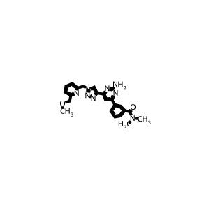 COCc1cccc(Cn2cc(-c3cc(-c4cccc(C(=O)N(C)C)c4)nc(N)n3)nn2)n1